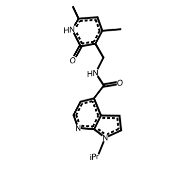 Cc1cc(C)c(CNC(=O)c2ccnc3c2ccn3C(C)C)c(=O)[nH]1